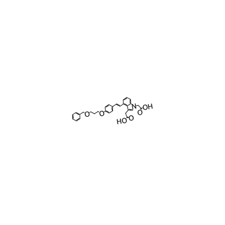 O=C(O)Cc1cn(CC(=O)O)c2cccc(C=Cc3ccc(OCCCOCc4ccccc4)cc3)c12